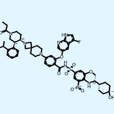 CCC(=O)N1CC[C@@H](N2CC3(CCN(c4ccc(C(=O)NS(=O)(=O)c5cc6c(c([N+](=O)[O-])c5)N[C@@H]([C@H]5CC[C@](C)(O)CC5)CO6)c(Oc5cnc6[nH]cc(F)c6c5)c4)CC3)C2)[C@@H](c2ccccc2C(C)C)C1